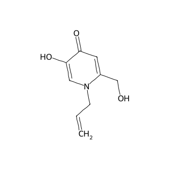 C=CCn1cc(O)c(=O)cc1CO